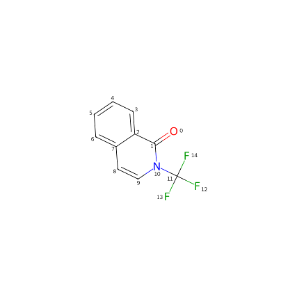 O=c1c2ccccc2ccn1C(F)(F)F